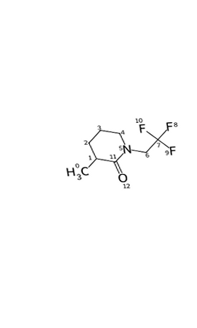 CC1CCCN(CC(F)(F)F)C1=O